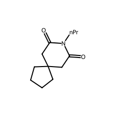 CCCN1C(=O)CC2(CCCC2)CC1=O